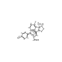 CCCC(C)ON=[N+]([O-])N1CCC[C@]1(C(=O)O)c1c(C)ncc2c1CO[C@H]2c1ccc(Cl)cc1